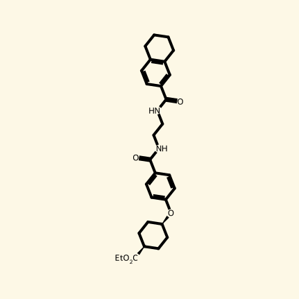 CCOC(=O)[C@H]1CC[C@@H](Oc2ccc(C(=O)NCCNC(=O)c3ccc4c(c3)CCCC4)cc2)CC1